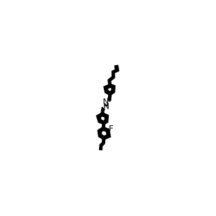 C=CCCCc1ccc(C=NN=Cc2ccc(-c3ccc(CCC)cc3F)cc2)cc1